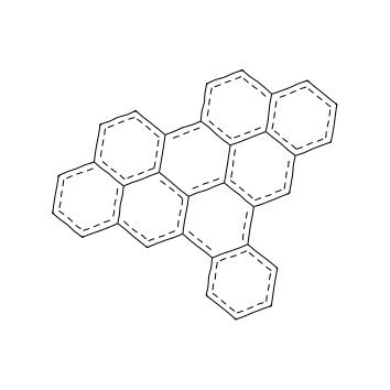 c1cc2ccc3c4ccc5cccc6cc7c8ccccc8c8cc(c1)c2c3c8c7c4c56